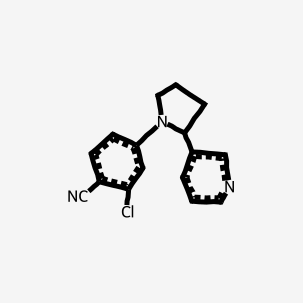 N#Cc1ccc(N2CCCC2c2cccnc2)cc1Cl